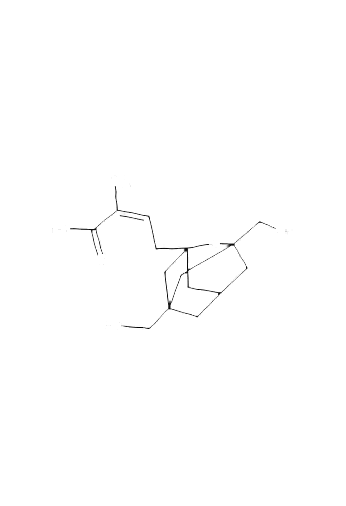 CC(=CCC12CC3CC(CO)(CC(CO)(C3)C1)C2)C(=O)O